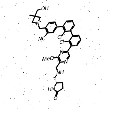 COc1nc(-c2cccc(-c3cccc(-c4ccc(CN5CC(C)(CO)C5)c(C#N)c4)c3Cl)c2Cl)cnc1CNC[C@@H]1CCC(=O)N1